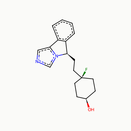 O[C@H]1CC[C@](F)(CC[C@@H]2c3ccccc3-c3cncn32)CC1